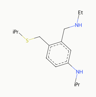 CCNCc1cc(NC(C)C)ccc1CSC(C)C